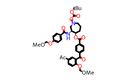 COCOc1ccc(C(=O)N[C@@H]2CN(OC(=O)OC(C)(C)C)CCC[C@H]2OC(=O)c2ccc(C(=O)c3cc(C(C)=O)ccc3OCOC)cc2)cc1